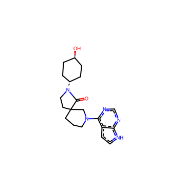 O=C1N([C@H]2CC[C@H](O)CC2)CCC12CCCN(c1ncnc3[nH]ccc13)C2